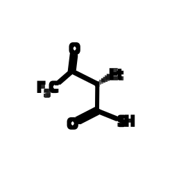 CC[C@H](C(=O)S)C(=O)C(F)(F)F